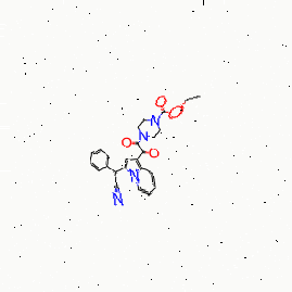 CCOC(=O)N1CCN(C(=O)C(=O)c2cc(C(C#N)c3ccccc3)n3ccccc23)CC1